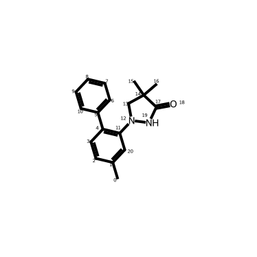 Cc1ccc(-c2ccccc2)c(N2CC(C)(C)C(=O)N2)c1